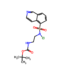 CC(C)(C)OC(=O)NCCN(Cl)S(=O)(=O)c1cccc2cnccc12